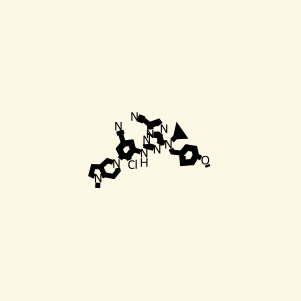 COc1ccc(CN(c2nc(Nc3cc(C#N)cc(N4CCC5C(CCN5C)C4)c3Cl)nn3c(C#N)cnc23)C2CC2)cc1